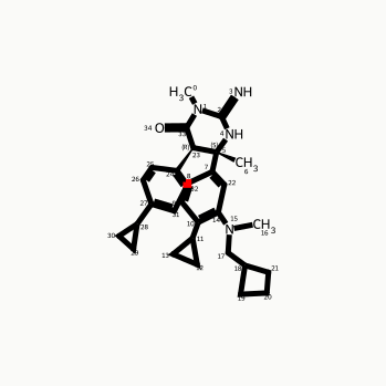 CN1C(=N)N[C@](C)(c2ccc(C3CC3)c(N(C)CC3CCC3)c2)[C@@H](c2ccc(C3CC3)cc2)C1=O